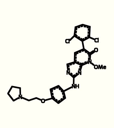 COn1c(=O)c(-c2c(Cl)cccc2Cl)cc2cnc(Nc3ccc(OCCN4CCCC4)cc3)nc21